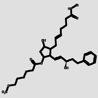 CCNC(=O)CCCC=CCC1C(O)CC(OC(=O)CCCCCO[N+](=O)[O-])C1C=C[C@@H](O)CCc1ccccc1